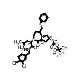 CC(C)C[C@H](C(=O)NCc1ccc(Cl)c(Cl)c1)N1CCC(CSc2ccccc2)N2C[C@H](NC(=O)OC(C)(C)C)C[C@H]2C1=O